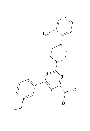 CCN(CC)c1nc(-c2cccc(CI)c2)nc(N2CCN(c3ncccc3C(F)(F)F)CC2)n1